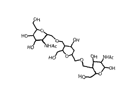 CC(=O)NC1C(O)OC(CO)C(COCC2CC(O)C(COCC3OC(CO)C(O)C(O)C3NC(C)=O)C(CO)O2)C1O